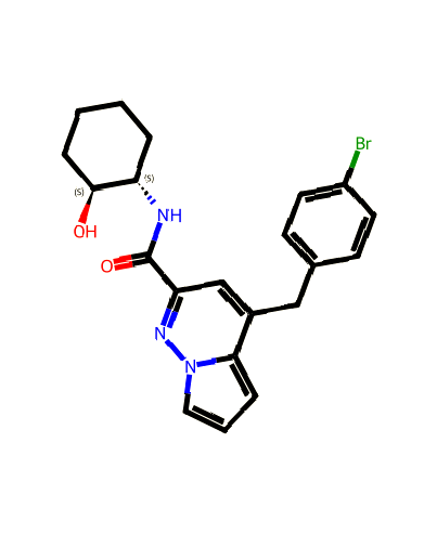 O=C(N[C@H]1CCCC[C@@H]1O)c1cc(Cc2ccc(Br)cc2)c2cccn2n1